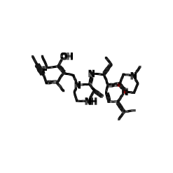 C=C1NCCN(CC(/C(C)=C\C#CC)=C(\O)C(C)F)/C1=N/C(=C\C)C(/C=C\C(=C(C)C)N1CCN(C)CC1)=C/C